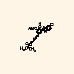 C=C(C)C(=O)OCCSCCCc1cc(OC)c(O)c(-n2nc3ccc(Cl)cc3n2)c1